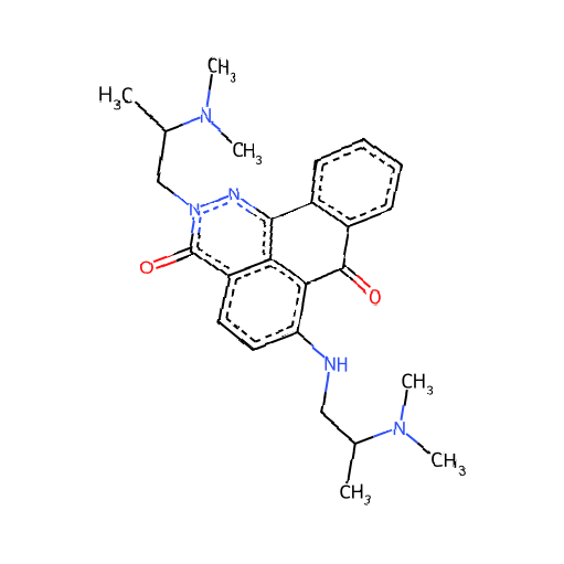 CC(CNc1ccc2c(=O)n(CC(C)N(C)C)nc3c2c1C(=O)c1ccccc1-3)N(C)C